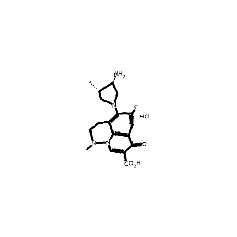 C[C@H]1CN(c2c(F)cc3c(=O)c(C(=O)O)cn4c3c2CCN4C)C[C@H]1N.Cl